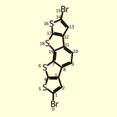 Brc1cc2c(s1)sc1c2ccc2c3cc(Br)sc3sc21